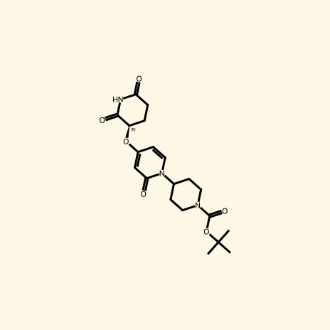 CC(C)(C)OC(=O)N1CCC(n2ccc(O[C@@H]3CCC(=O)NC3=O)cc2=O)CC1